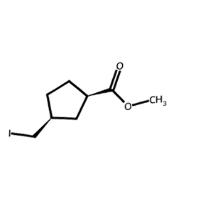 COC(=O)[C@@H]1CC[C@H](CI)C1